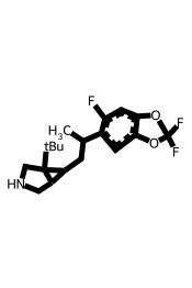 CC(CC1C2CNCC21C(C)(C)C)c1cc2c(cc1F)OC(F)(F)O2